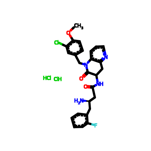 COc1ccc(CN2C(=O)C(NC(=O)C[C@H](N)Cc3ccccc3F)Cc3ncccc32)cc1Cl.Cl.Cl